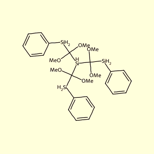 COC(OC)([SiH2]c1ccccc1)[SiH](C(OC)(OC)[SiH2]c1ccccc1)C(OC)(OC)[SiH2]c1ccccc1